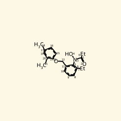 CCC(=O)N(O)c1c(CC)cccc1COc1ccc(C)cc1C